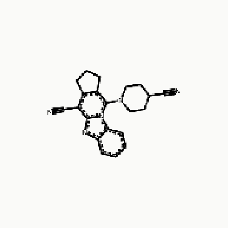 N#Cc1c2c(c(N3CCC(C#N)CC3)n3c1nc1ccccc13)CCC2